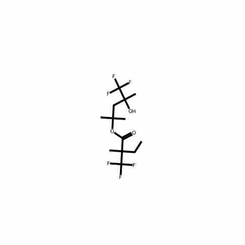 CCC(C)(C(=O)OC(C)(C)CC(C)(O)C(F)(F)F)C(F)(F)F